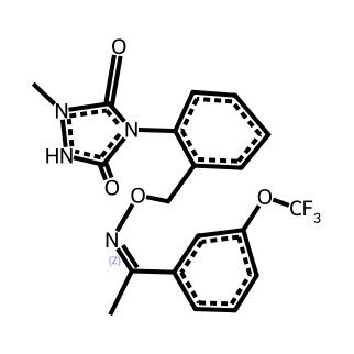 C/C(=N/OCc1ccccc1-n1c(=O)[nH]n(C)c1=O)c1cccc(OC(F)(F)F)c1